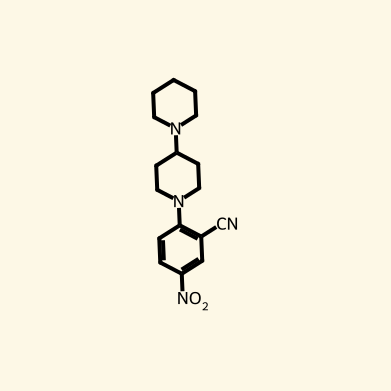 N#Cc1cc([N+](=O)[O-])ccc1N1CCC(N2CCCCC2)CC1